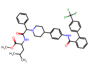 COC(=O)C(CC(C)C)NC(=O)C(c1ccccc1)N1CCC(c2ccc(NC(=O)c3ccccc3-c3ccc(C(F)(F)F)cc3)cc2)CC1